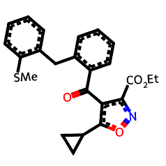 CCOC(=O)c1noc(C2CC2)c1C(=O)c1ccccc1Cc1ccccc1SC